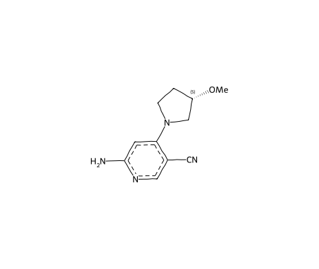 CO[C@H]1CCN(c2cc(N)ncc2C#N)C1